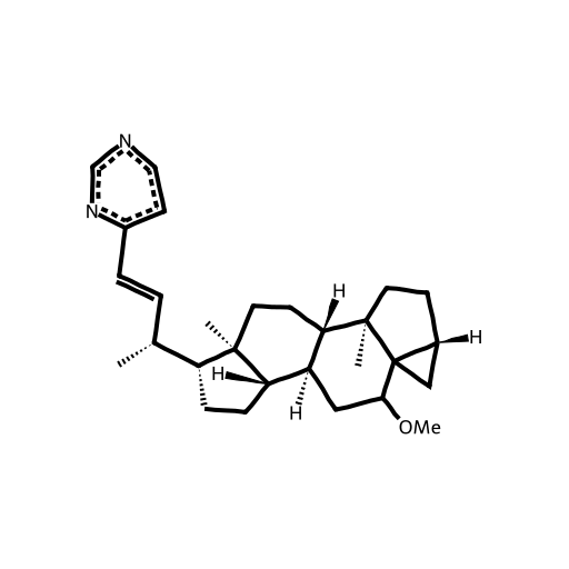 COC1C[C@H]2[C@@H]3CC[C@H]([C@H](C)/C=C/c4ccncn4)[C@@]3(C)CC[C@@H]2[C@@]2(C)CC[C@@H]3CC132